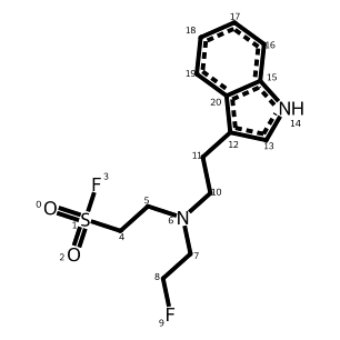 O=S(=O)(F)CCN(CCF)CCc1c[nH]c2ccccc12